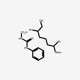 CCCCCCCCCC(CCCC(CO)C(C)C)C(C)C.O=C(O)NC(=O)Nc1ccccc1